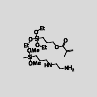 C=C(C)C(=O)OCCC[Si](OCC)(OCC)OCC.CO[Si](C)(CCCNCCN)OC